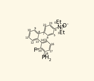 CC[N+]([O-])(CC)c1ccc(-c2ccccc2-c2cccc(P)c2F)cc1